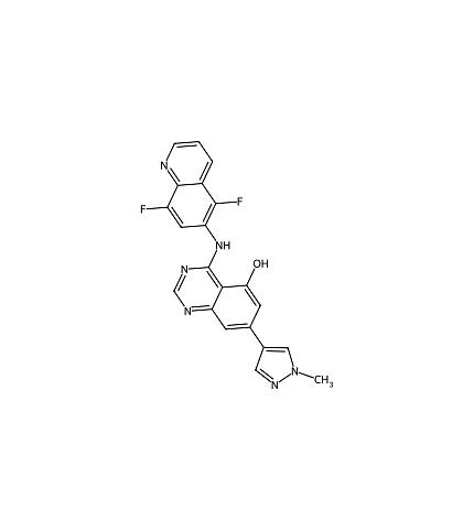 Cn1cc(-c2cc(O)c3c(Nc4cc(F)c5ncccc5c4F)ncnc3c2)cn1